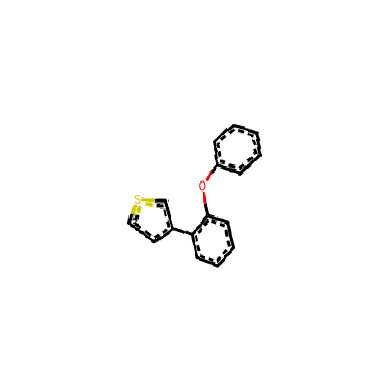 [c]1sccc1-c1ccccc1Oc1ccccc1